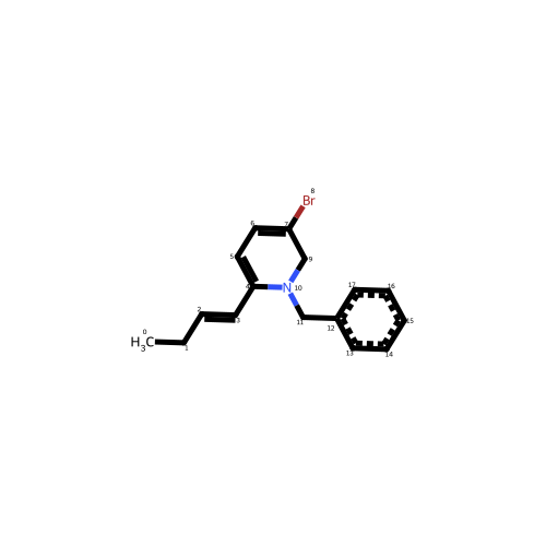 CCC=CC1=CC=C(Br)CN1Cc1ccccc1